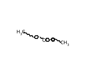 CCCCCCCC[C@H]1CC[C@H](CCCO[C@H]2CC[C@H](c3ccc(CCCCC)cc3)CC2)CC1